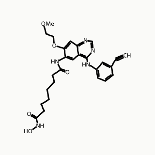 C#Cc1cccc(Nc2ncnc3cc(OCCOC)c(NC(=O)CCCCCCC(=O)NO)cc23)c1